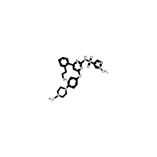 CC(C)CCc1ccccc1-c1cc(Oc2ccc(N3CCN(C)CC3)cc2)nc(NS(=O)(=O)c2cnn(C)c2)n1